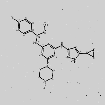 CN1CCN(c2nc(Nc3cc(C4CC4)[nH]n3)nc(NC(CO)c3ccc(F)cc3)n2)CC1